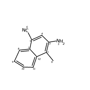 Cc1c(N)cc(C#N)c2ccccc12